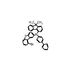 CC1(C)c2ccccc2-c2c(N(c3ccc(-c4ccccc4)cc3)c3ccc4sc5cccc(Br)c5c4c3)cccc21